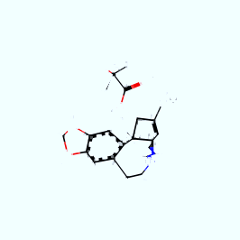 CCC[C@@](O)(CC)C(=O)O[C@@H]1C(OC)=C[C@]23CCCN2CCc2cc4c(cc2[C@H]13)OCO4